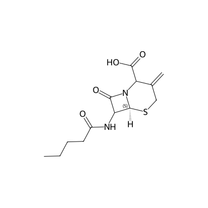 C=C1CS[C@H]2C(NC(=O)CCCC)C(=O)N2C1C(=O)O